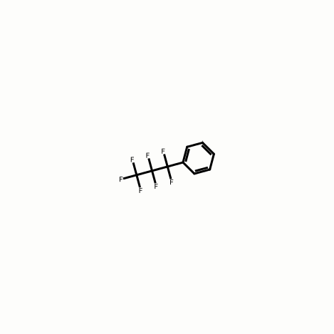 FC(F)(F)C(F)(F)C(F)(F)c1c[c]ccc1